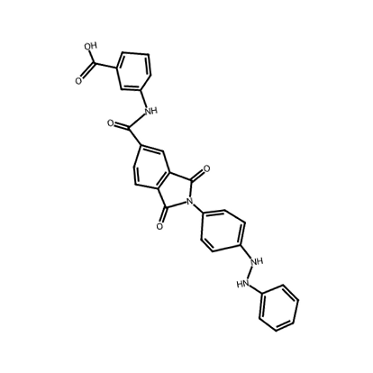 O=C(O)c1cccc(NC(=O)c2ccc3c(c2)C(=O)N(c2ccc(NNc4ccccc4)cc2)C3=O)c1